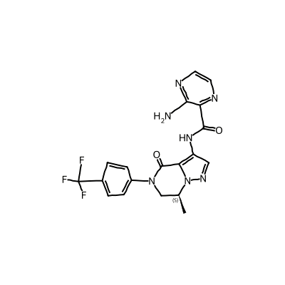 C[C@H]1CN(c2ccc(C(F)(F)F)cc2)C(=O)c2c(NC(=O)c3nccnc3N)cnn21